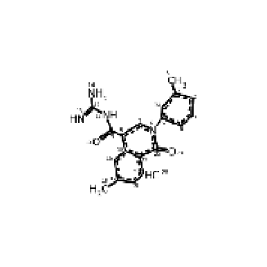 Cc1cccc(-n2cc(C(=O)NC(=N)N)c3cc(C)ccc3c2=O)c1.Cl